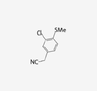 CSc1ccc(CC#N)cc1Cl